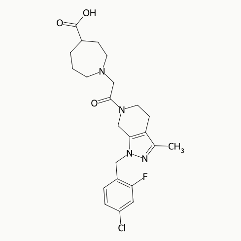 Cc1nn(Cc2ccc(Cl)cc2F)c2c1CCN(C(=O)CN1CCCC(C(=O)O)CC1)C2